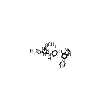 COc1nc(N[C@H]2CC[C@@H](Oc3cc(N4CCOCC4)cc4nccnc34)CC2)nc(OC)n1